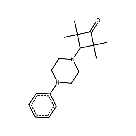 CC1(C)C(=O)C(C)(C)C1N1CCN(c2ccccc2)CC1